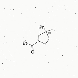 CCC(=O)N1CC[C@@](C)(C(C)C)C1